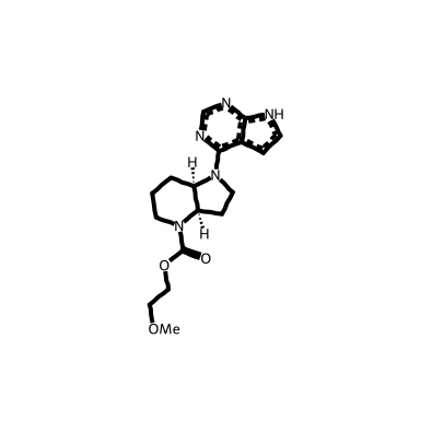 COCCOC(=O)N1CCC[C@@H]2[C@H]1CCN2c1ncnc2[nH]ccc12